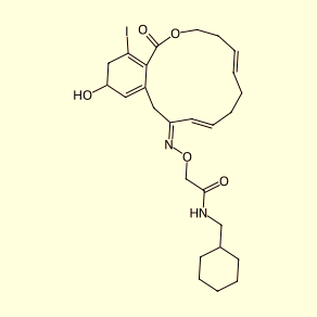 O=C(CO/N=C1\C=C\CC/C=C/CCOC(=O)C2=C(I)CC(O)C=C2C1)NCC1CCCCC1